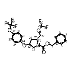 O=C(OCc1ccccc1)N1C[C@@H](Oc2ccc(OC(F)(F)F)cc2)C[C@H]1COC(F)F